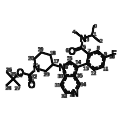 CC(C)N(C)C(=O)c1cc(F)ccc1-c1cn(C2CCCN(C(=O)OC(C)(C)C)C2)c2ccncc12